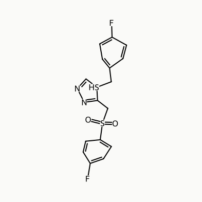 O=S(=O)(CC1=NN=C[SH]1Cc1ccc(F)cc1)c1ccc(F)cc1